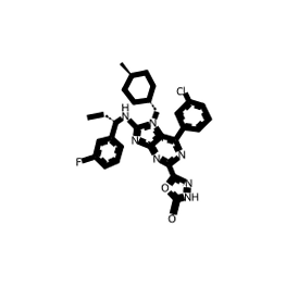 CC[C@H](Nc1nc2nc(-c3n[nH]c(=O)o3)nc(-c3cccc(Cl)c3)c2n1C[C@H]1CC[C@H](C)CC1)c1cccc(F)c1